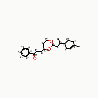 CC1=CCC(C(C)CC2OCCC(CCC(=O)c3ccccc3)O2)CC1